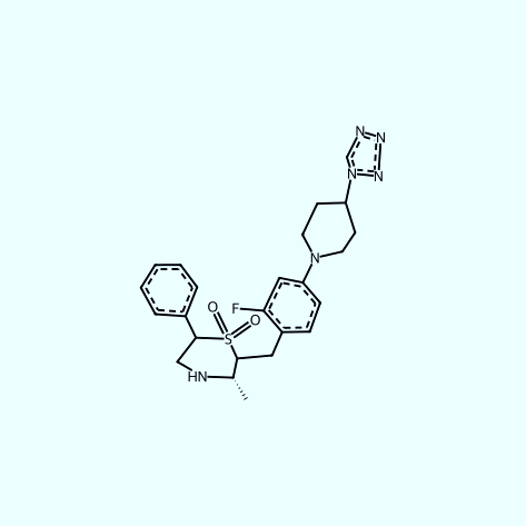 C[C@@H]1NCC(c2ccccc2)S(=O)(=O)C1Cc1ccc(N2CCC(n3cnnn3)CC2)cc1F